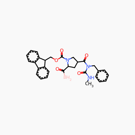 BC(=O)C1CC(C(=O)N(Cc2ccccc2)C(=O)NC)CN1C(=O)OCC1c2ccccc2-c2ccccc21